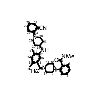 CNC(=O)c1ccccc1N1CCN(C(O)c2cc(NC3CCN(c4ccccc4C#N)CC3)c(C)cc2C)CC1